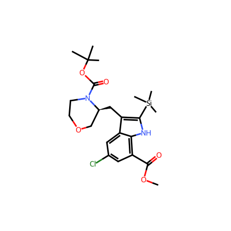 COC(=O)c1cc(Cl)cc2c(C[C@H]3COCCN3C(=O)OC(C)(C)C)c([Si](C)(C)C)[nH]c12